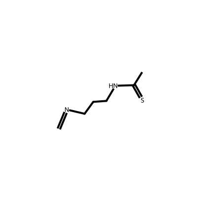 C=NCCCNC(C)=S